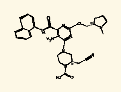 CN1CCC[C@H]1COc1nc(C(=O)Nc2cccc3ccccc23)c(N)c(N2CCN(C(=O)O)[C@@H](CC#N)C2)n1